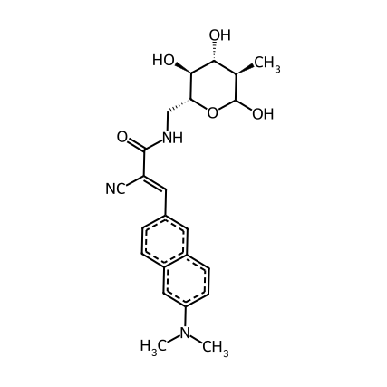 C[C@H]1C(O)O[C@H](CNC(=O)/C(C#N)=C/c2ccc3cc(N(C)C)ccc3c2)[C@@H](O)[C@@H]1O